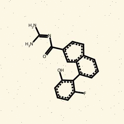 NC(N)=NC(=O)c1ccc2cccc(-c3c(O)cccc3F)c2c1